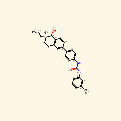 CC[C@]1(CC(=O)O)CCc2cc(-c3ccc(NC(=O)Nc4cccc(C(F)(F)F)c4)cc3)ccc2C1O